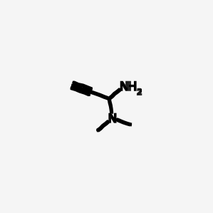 C#CC(N)N(C)C